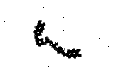 Cc1cc2c(cc1C)CC(CC1CN(OC(=O)/C=C/C(=O)ON3C=NC(CC4Cc5cc(C)c(C)cc5C4)C3)C=N1)C2